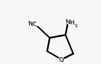 N#CC1COCC1N